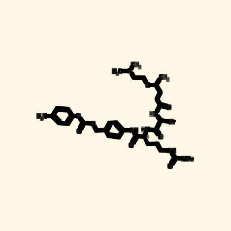 CNC(=O)NCCC[C@H](NC(=O)C(NC(=O)CCC(C)OCCN(C)C)C(C)C)C(=O)Nc1ccc(COC(=O)Oc2ccc(N)cc2)cc1